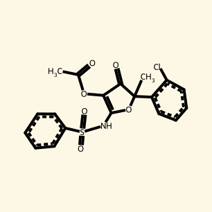 CC(=O)OC1=C(NS(=O)(=O)c2ccccc2)OC(C)(c2ccccc2Cl)C1=O